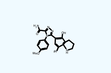 COc1ccc(-n2c(C(N)=O)nnc2-c2cc(C(C)C)c3c(c2O)CCCN3)cc1